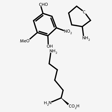 COc1cc(C=O)cc([N+](=O)[O-])c1O.NC1CCCCC1.NCCCC[C@H](N)C(=O)O